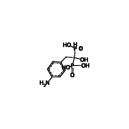 Nc1ccc(CC(O)([PH](=O)O)P(=O)(O)O)cc1